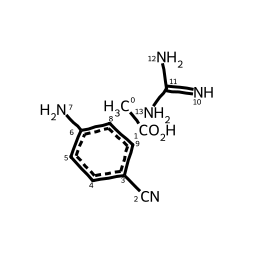 CC(=O)O.N#Cc1ccc(N)cc1.N=C(N)N